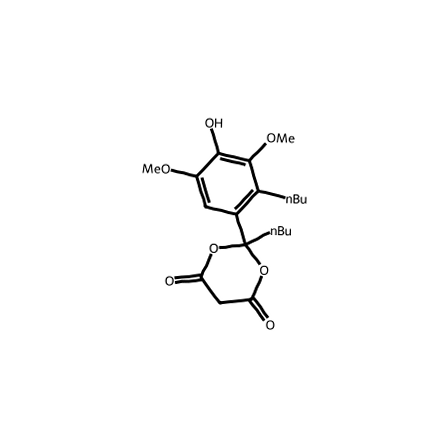 CCCCc1c(C2(CCCC)OC(=O)CC(=O)O2)cc(OC)c(O)c1OC